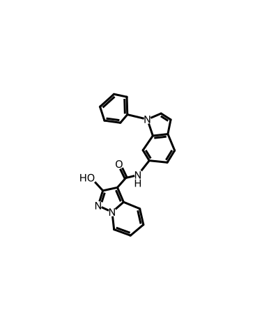 O=C(Nc1ccc2ccn(-c3ccccc3)c2c1)c1c(O)nn2ccccc12